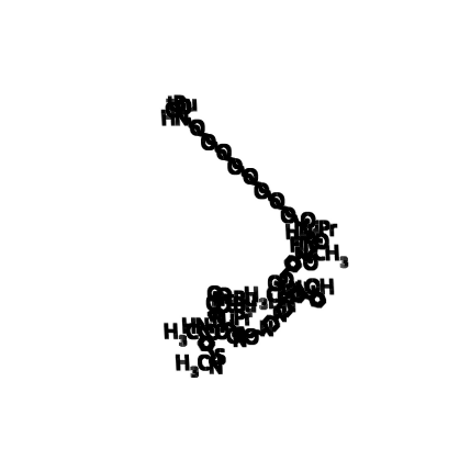 Cc1ncsc1-c1ccc([C@H](C)NC(=O)[C@@H]2C[C@@H](OP(=O)(OC(C)(C)C)OC(C)(C)C)CN2C(=O)[C@@H](c2cc(OCCN3CCC(N4CCN5c6cc(-c7ccccc7O)nnc6N(C(=O)OCc6ccc(NC(=O)[C@H](C)NC(=O)[C@@H](NC(=O)CCOCCOCCOCCOCCOCCOCCOCCOCCNC(=O)OC(C)(C)C)C(C)C)cc6)[C@@H](C)[C@@H]5C4)CC3)no2)C(C)C)cc1